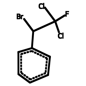 FC(Cl)(Cl)C(Br)c1ccccc1